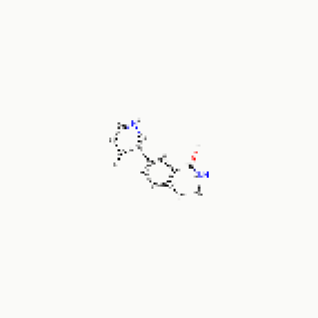 Cc1ccncc1-c1ccc2c(c1)C(=O)NCC2